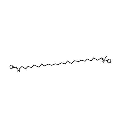 C[Si](C)(Cl)CCCCCCCCCCCCCCCCCCCCCCCCCN=C=O